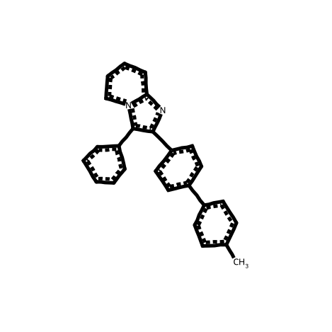 Cc1ccc(-c2ccc(-c3nc4ccccn4c3-c3ccccc3)cc2)cc1